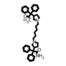 CC(=O)C(c1ccccc1)(c1ccccc1)C1CCN(CCCCCCN2CCC(C(C(N)=O)(c3ccccc3)c3ccccc3)C2)C1